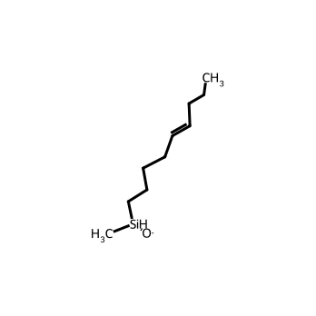 CCCC=CCCCC[SiH](C)[O]